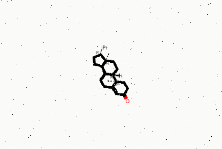 CC(C)[C@H]1CCC2C3CCC4=CC(=O)CC[C@]4(C)[C@H]3CC[C@@]21C